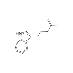 C=C(C)CCCc1c[nH]c2ccccc12